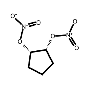 O=[N+]([O-])O[C@H]1C[CH]C[C@H]1O[N+](=O)[O-]